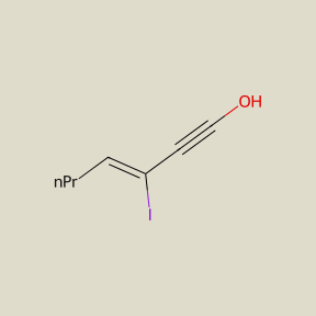 CCCC=C(I)C#CO